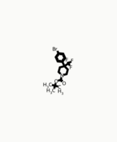 CC(C)(C)OC(=O)N1CCC(c2ccc(Br)cc2)(C(F)(F)F)CC1